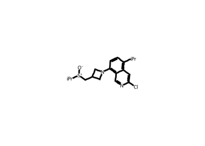 CC(C)c1ccc(N2CC(C[S+]([O-])C(C)C)C2)c2cnc(Cl)cc12